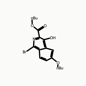 CCCCOC(=O)c1nc(Br)c2ccc(OCCCC)cc2c1O